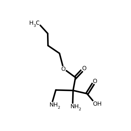 CCCCOC(=O)C(N)(CN)C(=O)O